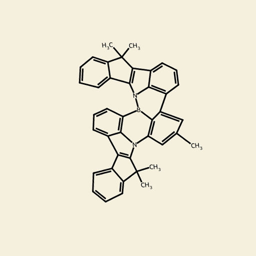 Cc1cc2c3c(c1)-n1c4c(c5cccc(c51)B3n1c3c(c5cccc-2c51)C(C)(C)c1ccccc1-3)-c1ccccc1C4(C)C